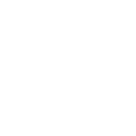 COc1ccc(CN(C(=O)O)C2(CCN)COC2)cc1